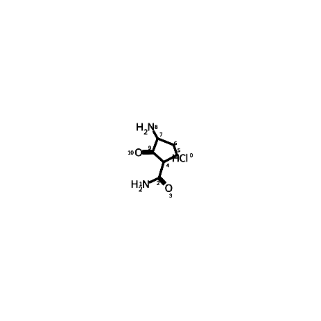 Cl.NC(=O)C1CCC(N)C1=O